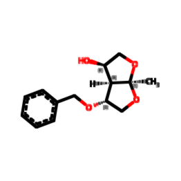 C[C@]12OC[C@H](OCc3ccccc3)[C@H]1[C@@H](O)CO2